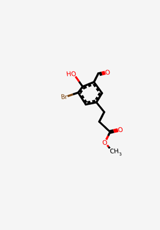 COC(=O)CCc1cc(Br)c(O)c(C=O)c1